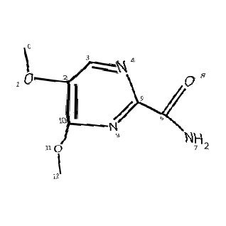 COc1cnc(C(N)=O)nc1OC